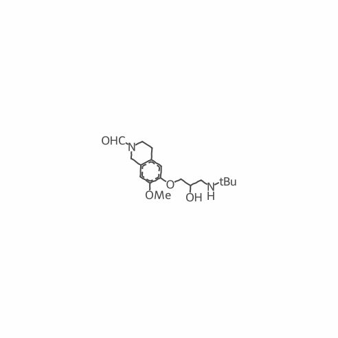 COc1cc2c(cc1OCC(O)CNC(C)(C)C)CCN(C=O)C2